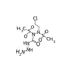 CS(=O)(=O)N(CCCl)N(C(=O)NNN)S(C)(=O)=O